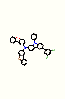 Clc1cc(Cl)cc(-c2ccc3c(c2)c2ccc(N(c4ccc5oc6ccccc6c5c4)c4ccc5sc6ccccc6c5c4)cc2n3-c2ccccc2)c1